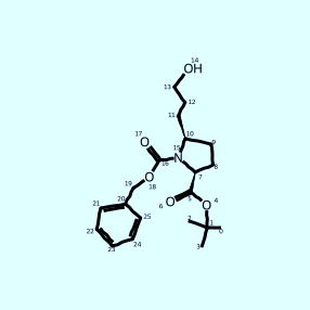 CC(C)(C)OC(=O)[C@@H]1CC[C@H](CCCO)N1C(=O)OCc1ccccc1